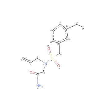 C=CCN(CC(N)=O)S(=O)(=O)Cc1cccc(CC)c1